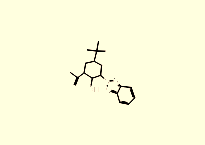 C=C(C)C1CC(C(C)(C)C)CC(n2nc3ccccc3n2)C1O